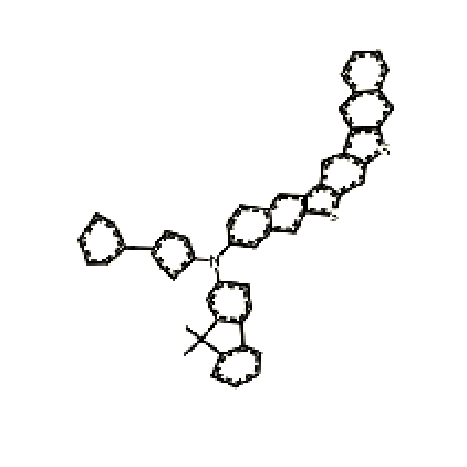 CC1(C)c2ccccc2-c2ccc(N(c3ccc(-c4ccccc4)cc3)c3ccc4cc5c(cc4c3)sc3cc4sc6cc7ccccc7cc6c4cc35)cc21